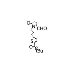 CC(C)(C)OC(=O)c1ccc(CCCN2C(=O)CCC2C=O)s1